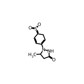 CC1CC(=O)NN1C1=CCC(=S(=O)=O)C=C1